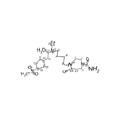 CCN(CCCCN1CCN(C(N)=O)CCC1=O)C(C)Cc1ccc(S(C)(=O)=O)cc1